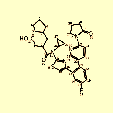 O=C(O)CC(CC1CCCC1)C(=O)N(c1nc(-c2cc(F)ccc2-c2ccc(N3CCCC3=O)nc2)cs1)C1CC1